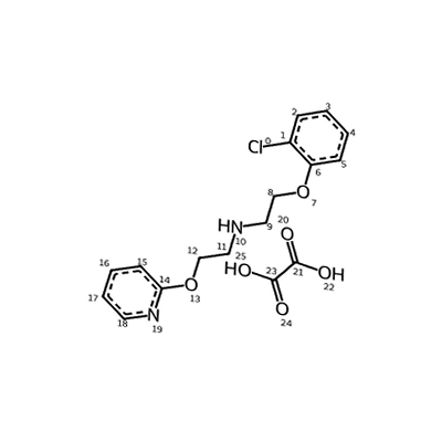 Clc1ccccc1OCCNCCOc1ccccn1.O=C(O)C(=O)O